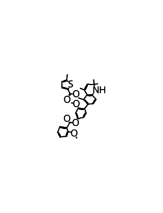 COc1ccccc1C(=O)Oc1ccc(-c2ccc3c(c2COC(=O)c2ccc(C)s2)C(C)=CC(C)(C)N3)c(OC)c1